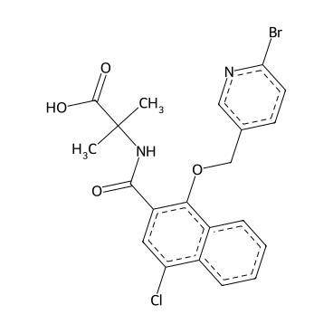 CC(C)(NC(=O)c1cc(Cl)c2ccccc2c1OCc1ccc(Br)nc1)C(=O)O